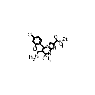 CCNC(=O)c1cn2c(-c3ccc(Cl)cc3Cl)c(CN)c(C)nc2n1